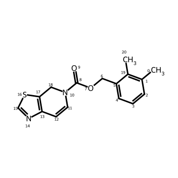 Cc1cccc(COC(=O)N2C=Cc3ncsc3C2)c1C